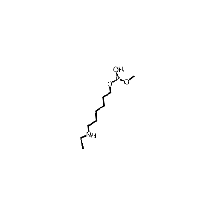 CCNCCCCCCOP(O)OC